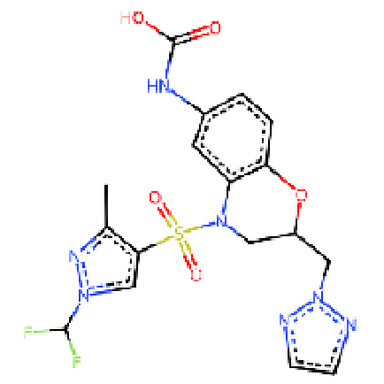 Cc1nn(C(F)F)cc1S(=O)(=O)N1CC(Cn2nccn2)Oc2ccc(NC(=O)O)cc21